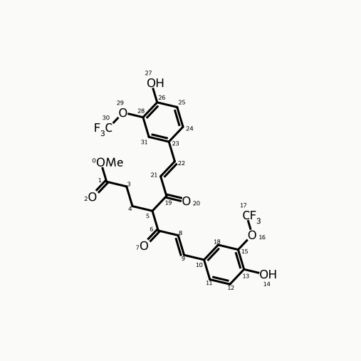 COC(=O)CCC(C(=O)/C=C/c1ccc(O)c(OC(F)(F)F)c1)C(=O)/C=C/c1ccc(O)c(OC(F)(F)F)c1